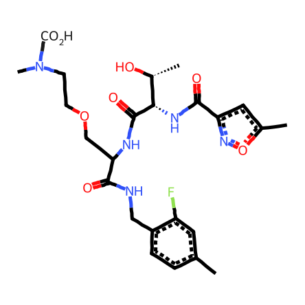 Cc1ccc(CNC(=O)C(COCCN(C)C(=O)O)NC(=O)[C@@H](NC(=O)c2cc(C)on2)[C@@H](C)O)c(F)c1